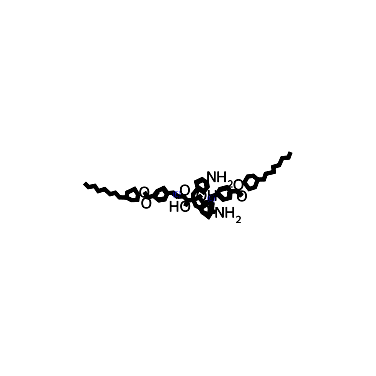 CCCCCCCCC1CCC(OC(=O)c2ccc(/C=C/C(=O)C(O)C(Cc3ccc(N)cc3)(Cc3ccc(N)cc3)C(O)C(=O)/C=C/c3ccc(C(=O)OC4CCC(CCCCCCCC)CC4)cc3)cc2)CC1